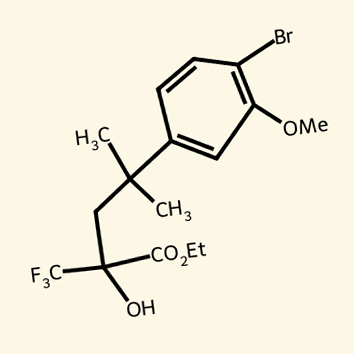 CCOC(=O)C(O)(CC(C)(C)c1ccc(Br)c(OC)c1)C(F)(F)F